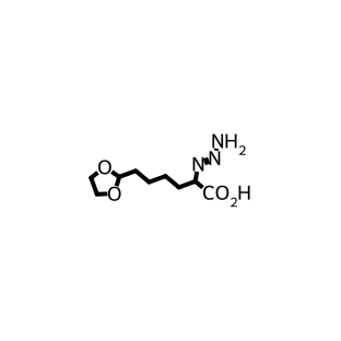 NN=NC(CCCCC1OCCO1)C(=O)O